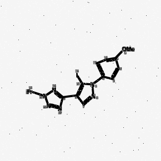 COc1ccc(-n2ncc(-c3nnn(C(C)C)n3)c2I)cc1